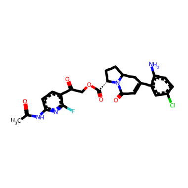 CC(=O)Nc1ccc(C(=O)COC(=O)[C@@H]2CCC3CC(c4cc(Cl)ccc4N)=CC(=O)N32)c(F)n1